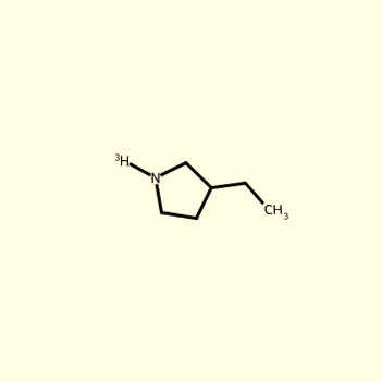 [3H]N1CCC(CC)C1